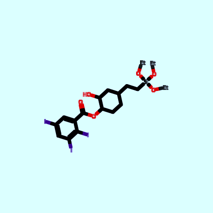 CCO[Si](CCC1CCC(OC(=O)c2cc(I)cc(I)c2I)C(O)C1)(OCC)OCC